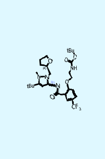 Cn1c(C(C)(C)C)c/c(=N\C(=O)c2cc(C(F)(F)F)ccc2OCCNC(=O)OC(C)(C)C)n1C[C@H]1CCCO1